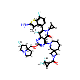 N#Cc1c(N)sc2c(F)ccc(-c3c(F)c4nc(OC[C@@]56CCCN5C[C@H](F)C6)nc(N5CCCCC6(CN(C(=O)C7CC7(F)F)C6)C5)c4c(=O)n3C3CC3)c12